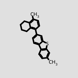 Cc1ccc2c(c1)sc1cc(-c3ccc(C)c4c3CCCC4)ccc12